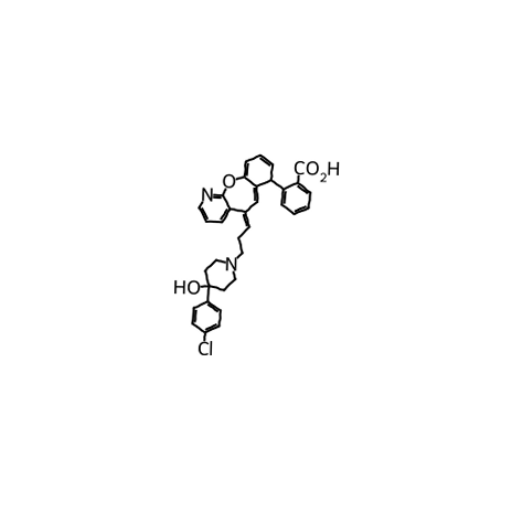 O=C(O)c1ccccc1C1C=CC=C2Oc3ncccc3C(=CCCN3CCC(O)(c4ccc(Cl)cc4)CC3)C=C21